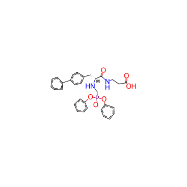 O=C(O)CCNC(=O)[C@@H](Cc1ccc(-c2ccccc2)cc1)NCP(=O)(Oc1ccccc1)Oc1ccccc1